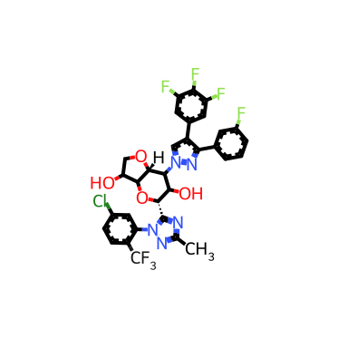 Cc1nc([C@@H]2OC3C(O)CO[C@@H]3C(n3cc(-c4cc(F)c(F)c(F)c4)c(-c4cccc(F)c4)n3)C2O)n(-c2cc(Cl)ccc2C(F)(F)F)n1